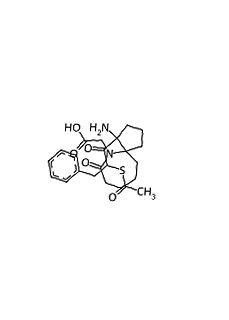 CC(=O)SC(Cc1ccccc1)C(=O)C1(N)CCCC12CCCCC(=O)N2CC(=O)O